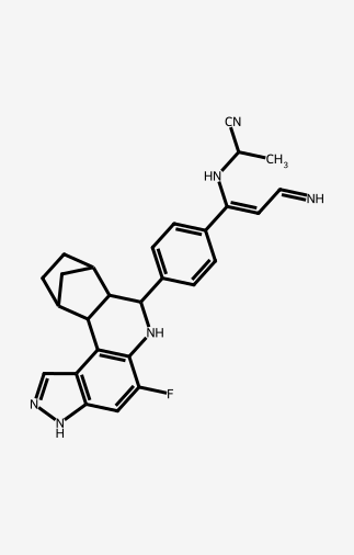 CC(C#N)N/C(=C\C=N)c1ccc(C2Nc3c(F)cc4[nH]ncc4c3C3C4CCC(C4)C23)cc1